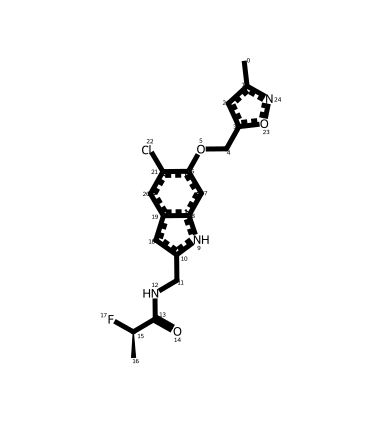 Cc1cc(COc2cc3[nH]c(CNC(=O)[C@@H](C)F)cc3cc2Cl)on1